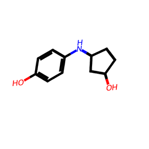 Oc1ccc(NC2CCC(O)C2)cc1